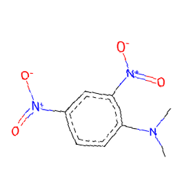 CN(C)c1ccc([N+](=O)[O-])cc1[N+](=O)[O-]